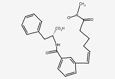 CN(Cl)C(=O)CCC/C=C\c1cccc(C(=O)N[C@H](Cc2ccccc2)C(=O)O)c1